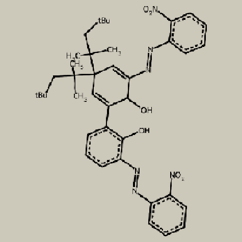 CC(C)(C)CC(C)(C)C1(C(C)(C)CC(C)(C)C)C=C(/N=N/c2ccccc2[N+](=O)[O-])C(O)C(c2cccc(/N=N/c3ccccc3[N+](=O)[O-])c2O)=C1